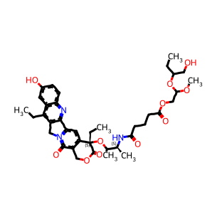 CCc1c2c(nc3ccc(O)cc13)-c1cc3c(c(=O)n1C2)COC(=O)[C@@]3(CC)OC(C)[C@H](C)NC(=O)CCCC(=O)OCC(OC)OC(CC)CO